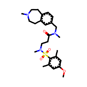 COc1cc(C)c(S(=O)(=O)N(C)CCC(=O)N(C)Cc2ccc3c(c2)CCN(C)CC3)c(C)c1